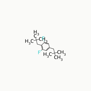 CC(C)(C)Cc1cc(F)c(CC(C)(C)C)c(F)c1